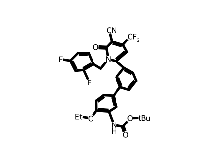 CCOc1ccc(-c2cccc(-c3cc(C(F)(F)F)c(C#N)c(=O)n3Cc3ccc(F)cc3F)c2)cc1NC(=O)OC(C)(C)C